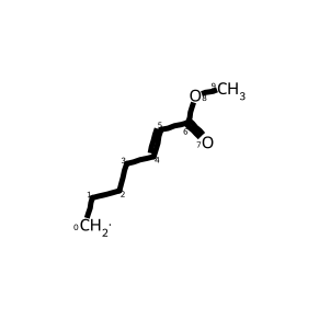 [CH2]CCCC=CC(=O)OC